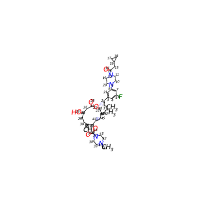 C/C(=C\c1cc(F)cc(N2CCN(C(=O)CC3CC3)CC2)c1)[C@H]1OC(=O)C[C@H](O)CC[C@H](C)[C@@H](OC(=O)N2CCN(C)CC2)/C=C/[C@@H]1C